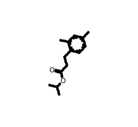 Cc1ccc(CCC(=O)OC(C)C)c(C)c1